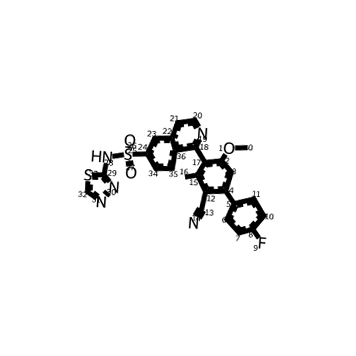 COc1cc(-c2ccc(F)cc2)c(C#N)c(C)c1-c1nccc2cc(S(=O)(=O)Nc3nncs3)ccc12